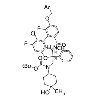 CC(=O)COc1ccc(C(N)=O)c(-c2c(Cl)c(F)cc3c2[C@H](C)[C@@](CN(C(=O)OC(C)(C)C)C2CCC(C)(O)CC2)(c2ccccc2)O3)c1F